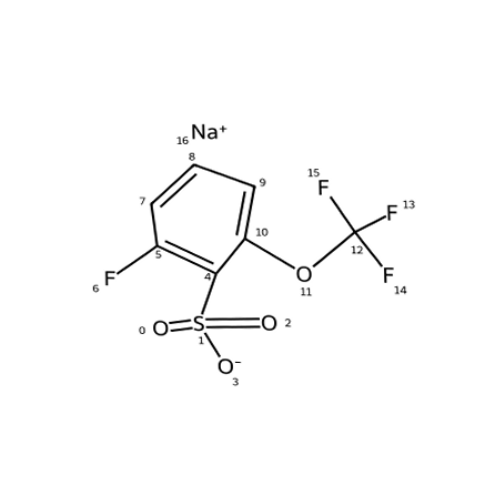 O=S(=O)([O-])c1c(F)cccc1OC(F)(F)F.[Na+]